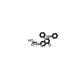 O=C(O)CNc1cc2c(cn1)c(=O)cc(Nc1ccccc1)n2-c1ccccc1